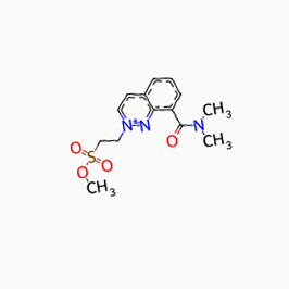 COS(=O)(=O)CC[n+]1ccc2cccc(C(=O)N(C)C)c2n1